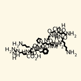 COc1cccc(C[C@H](NC(=O)[C@@H]2CCCN2C(=O)/C(CCCN)=N/C(=O)CNC(=O)[C@H](C)NC(=O)[C@@H](NC(=O)[C@@H](N)CCCCN)[C@@H](O)CN)C(=O)N[C@@H](CCCCN)C(=O)N/C(=C\CCNC(=N)N)C(=O)O)c1